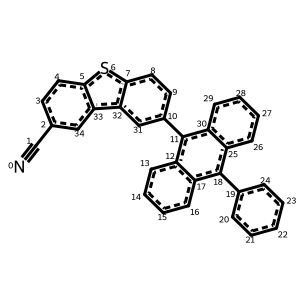 N#Cc1ccc2sc3ccc(-c4c5ccccc5c(-c5ccccc5)c5ccccc45)cc3c2c1